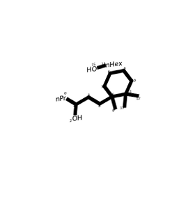 CCCC(O)CCC1(C)CCCCC1(C)C.CCCCCCO